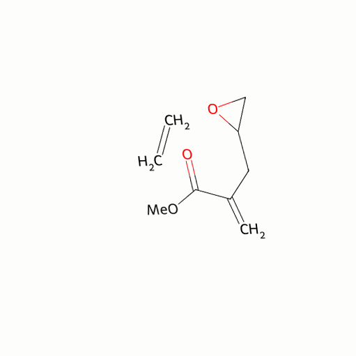 C=C.C=C(CC1CO1)C(=O)OC